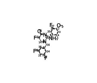 COc1cc(C)c(NC2=NC(=O)C(F)CN2Cc2cc(F)cc(F)c2)cc1F